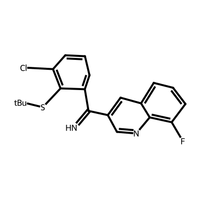 CC(C)(C)Sc1c(Cl)cccc1C(=N)c1cnc2c(F)cccc2c1